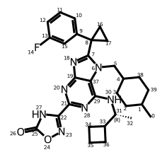 CC1CCC(Cn2c(C3(c4cccc(F)c4)CC3)nc3nc(-c4noc(=O)[nH]4)nc(N[C@H](C)C4CCC4)c32)CC1